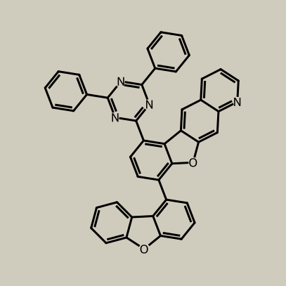 c1ccc(-c2nc(-c3ccccc3)nc(-c3ccc(-c4cccc5oc6ccccc6c45)c4oc5cc6ncccc6cc5c34)n2)cc1